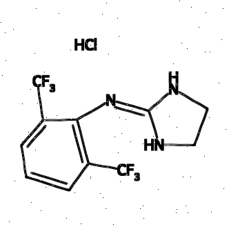 Cl.FC(F)(F)c1cccc(C(F)(F)F)c1N=C1NCCN1